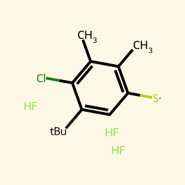 Cc1c([S])cc(C(C)(C)C)c(Cl)c1C.F.F.F